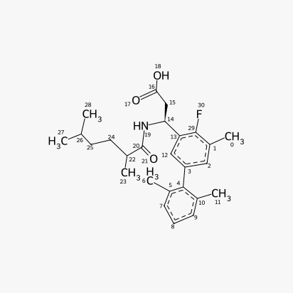 Cc1cc(-c2c(C)cccc2C)cc([C@H](CC(=O)O)NC(=O)C(C)CCC(C)C)c1F